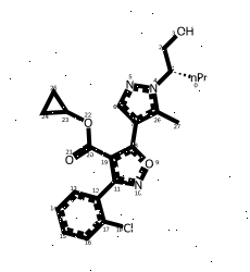 CCC[C@@H](CO)n1ncc(-c2onc(-c3ccccc3Cl)c2C(=O)OC2CC2)c1C